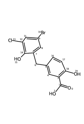 O=C(O)c1cc(Cc2cc(Br)cc(Cl)c2O)ccc1O